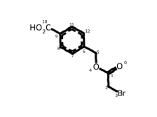 O=C(CBr)OCc1ccc(C(=O)O)cc1